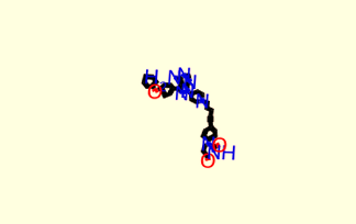 Nc1ncnc2c1c(-c1ccc(Oc3ccccc3)cc1)nn2C1CCN(CCCC#Cc2ccc(N3CCC(=O)NC3=O)cc2)CC1